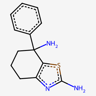 Nc1nc2c(s1)C(N)(c1ccccc1)CCC2